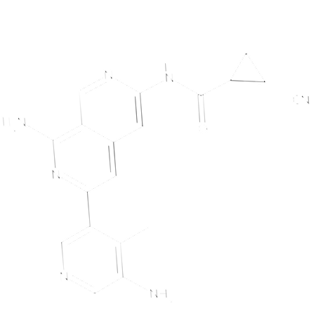 Cc1c(N)cncc1-c1cc2cc(NC(=O)C3C[C@@H]3C#N)ncc2c(N)n1